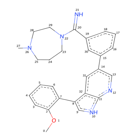 COc1ccccc1-c1c[nH]c2ncc(-c3cccc(C(=N)N4CCCN(C)CC4)c3)cc12